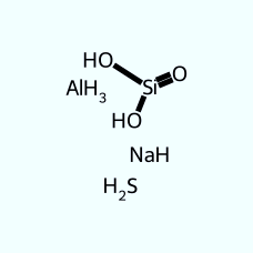 O=[Si](O)O.S.[AlH3].[NaH]